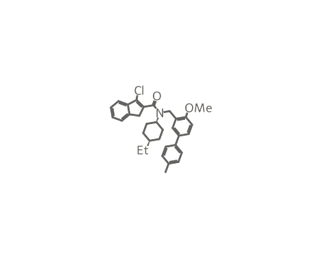 CC[C@H]1CC[C@@H](N(Cc2cc(-c3ccc(C)cc3)ccc2OC)C(=O)C2=C(Cl)c3ccccc3C2)CC1